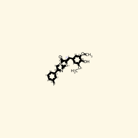 COc1cc(/C=c2\sc3nc(-c4cccc(F)c4)cn3c2=O)cc(OC)c1O